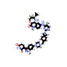 Cn1nc(C2CCC(=O)NC2=O)c2ccc(N3CCN(CC4CCC5(CC4)CN(c4ncc(Cl)c(Nc6ccc7c(c6)c6c(c(=O)n7C)OCC(F)(F)[C@H](C7CC7)N6)n4)C5)CC3)cc21